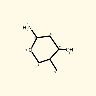 CC1COC(N)CC1O